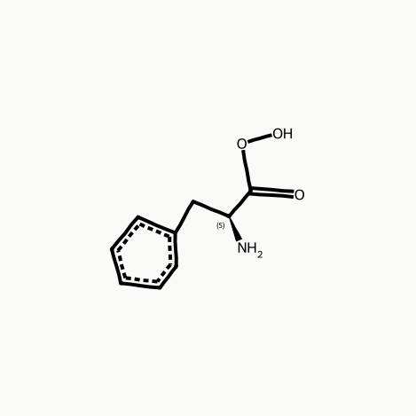 N[C@@H](Cc1ccccc1)C(=O)OO